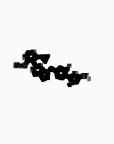 COc1ncnc(C2CC2)c1-c1ncc2cnn(Cc3ccc(-c4nc(C(F)(F)F)cn4C)c(F)c3)c2n1